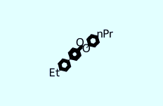 CCC[C@H]1CC[C@H](OC(=O)c2ccc([C@H]3CC[C@H](CC)CC3)cc2)CC1